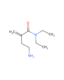 C=C(CCN)C(=O)N(CC)CC